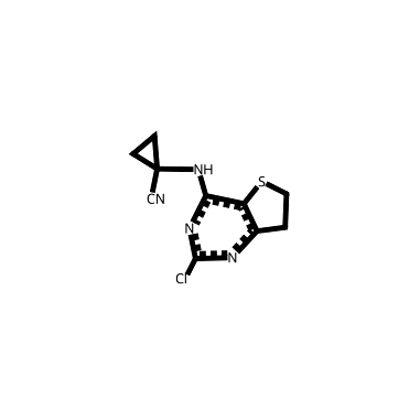 N#CC1(Nc2nc(Cl)nc3c2SCC3)CC1